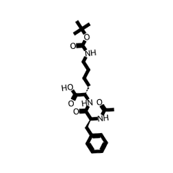 CC(=O)N[C@@H](Cc1ccccc1)C(=O)N[C@@H](CCCCNC(=O)OC(C)(C)C)C(=O)O